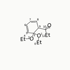 CCOC1(OCC)C=CC=CC1C(=O)CC